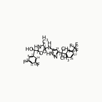 CC(NC(=O)C(O)c1cc(F)cc(F)c1)C(=O)Nc1cc(C(C)(C)c2cccc(C(F)(F)F)c2)n[nH]1